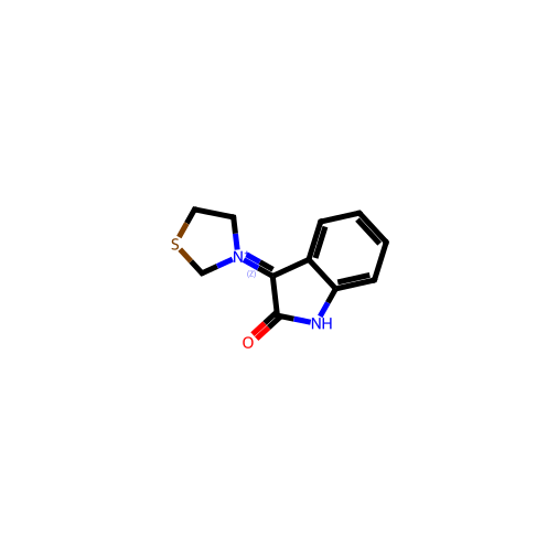 O=C1Nc2ccccc2/C1=[N+]1\CCSC1